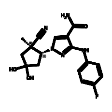 C[C@@]1(C#N)CS(O)(O)C[C@H]1n1cc(C(N)=O)c(Nc2ccc(F)cc2)n1